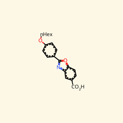 CCCCCCOc1ccc(-c2nc3cc(C(=O)O)ccc3o2)cc1